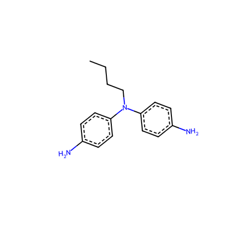 CCCCN(c1ccc(N)cc1)c1ccc(N)cc1